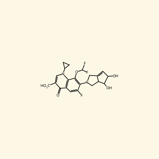 O=C(O)c1cn(C2CC2)c2c(OC(F)F)c(N3CC4=CC(O)C(O)C4C3)c(F)cc2c1=O